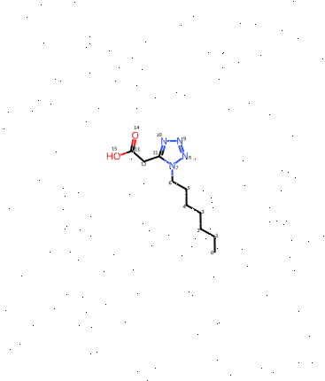 CCCCCCCn1nnnc1CC(=O)O